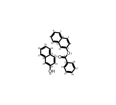 O=C(Oc1ccc2ccccc2c1)c1ccccc1.Oc1ccc2ccccc2c1